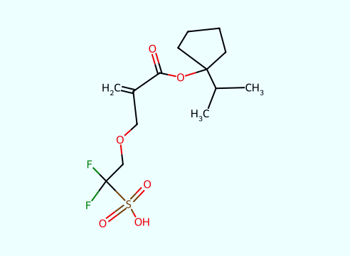 C=C(COCC(F)(F)S(=O)(=O)O)C(=O)OC1(C(C)C)CCCC1